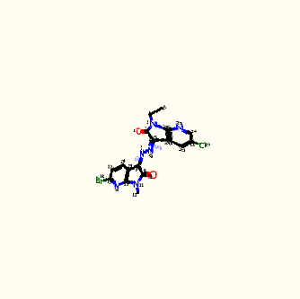 CCN1C(=O)/C(=N\N=C2/C(=O)N(C)c3nc(Br)ccc32)c2cc(Cl)cnc21